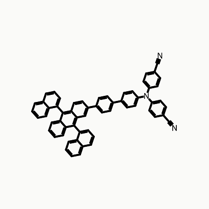 N#Cc1ccc(N(c2ccc(C#N)cc2)c2ccc(-c3ccc(-c4ccc5c(-c6cccc7ccccc67)c6ccccc6c(-c6cccc7ccccc67)c5c4)cc3)cc2)cc1